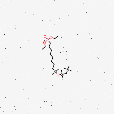 CCOP(=O)(CCCCCCCC[Si](C)(C)O[Si](C)(C)C[Si](C)(C)C)OCC